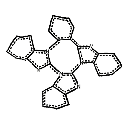 c1ccc2c(c1)nc1n2c2ccccc2c2nc3ccccc3n2c2nc3ccccc3n12